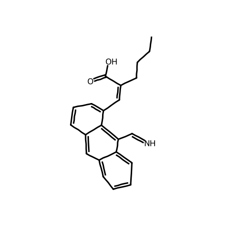 CCCCC(=Cc1cccc2cc3ccccc3c(C=N)c12)C(=O)O